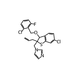 C=CCC1(Cn2ccnc2)Sc2cc(Cl)ccc2C1OCc1c(F)cccc1Cl